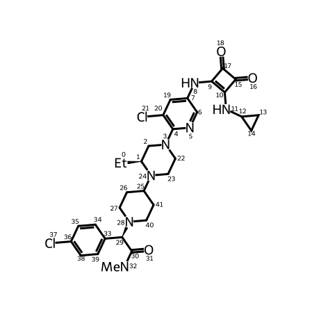 CC[C@H]1CN(c2ncc(Nc3c(NC4CC4)c(=O)c3=O)cc2Cl)CCN1C1CCN([C@@H](C(=O)NC)c2ccc(Cl)cc2)CC1